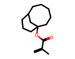 C=C(C)C(=O)OC12CCCCCC(CCC1)C2